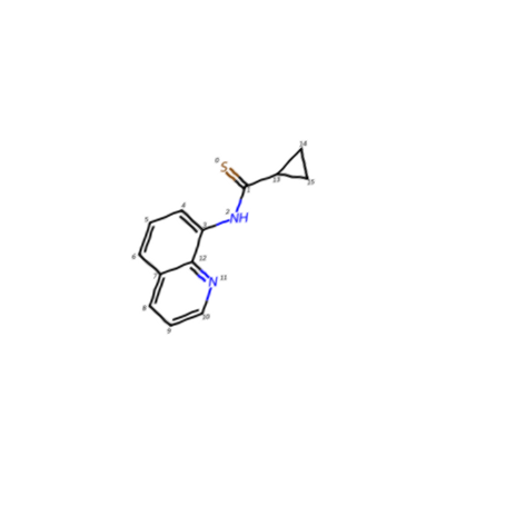 S=C(Nc1cccc2cccnc12)C1CC1